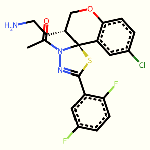 CC(=O)N1N=C(c2cc(F)ccc2F)S[C@@]12c1cc(Cl)ccc1OC[C@H]2CCN